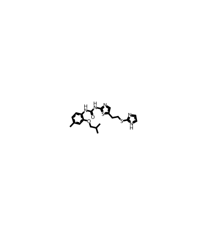 Cc1ccc(NC(=O)Nc2ncc(CCSc3ncc[nH]3)s2)c(OCC(C)C)c1